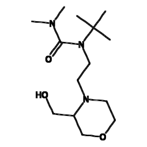 CN(C)C(=O)N(CCN1CCOCC1CO)C(C)(C)C